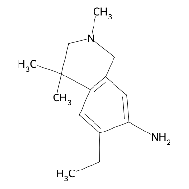 CCc1cc2c(cc1N)CN(C)CC2(C)C